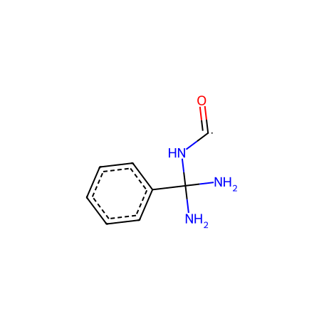 NC(N)(N[C]=O)c1ccccc1